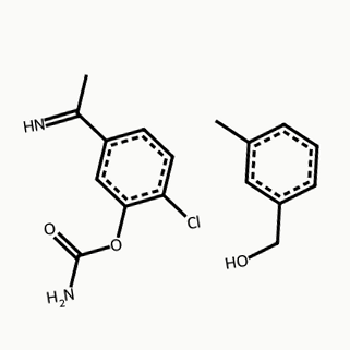 CC(=N)c1ccc(Cl)c(OC(N)=O)c1.Cc1cccc(CO)c1